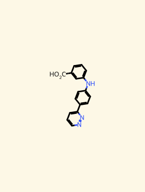 O=C(O)c1cccc(Nc2ccc(-c3cccnn3)cc2)c1